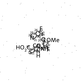 COc1cc(F)c(NC(=O)Nc2csc(C(=O)O)c2C(=O)O)cc1OCc1c(F)c(F)cc2ccncc12